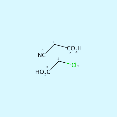 N#CCC(=O)O.O=C(O)CCl